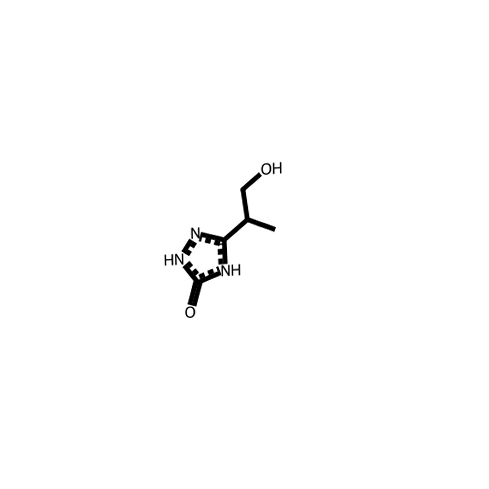 CC(CO)c1n[nH]c(=O)[nH]1